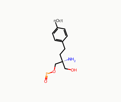 CCCCCCCCc1ccc(CC[C@@](N)(CO)COP=O)cc1